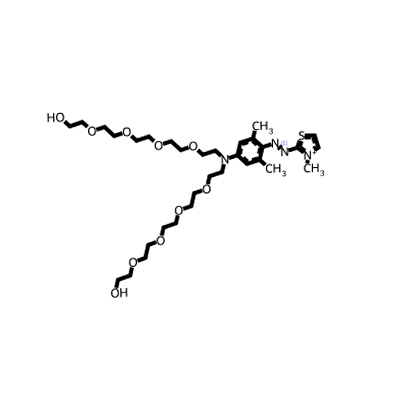 Cc1cc(N(CCOCCOCCOCCOCCO)CCOCCOCCOCCOCCO)cc(C)c1/N=N/c1scc[n+]1C